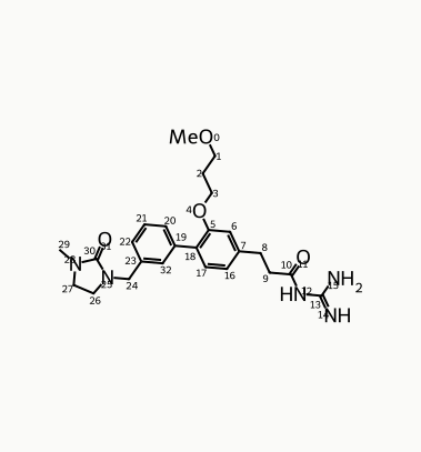 COCCCOc1cc(CCC(=O)NC(=N)N)ccc1-c1cccc(CN2CCN(C)C2=O)c1